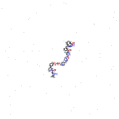 O=C(CN1CCN(CC2CCN(CCOCCOc3cccc(C4CCCN(C(=O)CNC5CC5)C4)c3)CC2)CC1)N1CCN(C(=O)c2cc(Cc3n[nH]c(=O)c4ccccc34)ccc2F)CC1